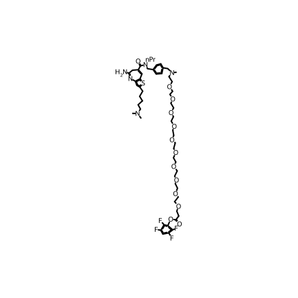 CCCN(Cc1ccc(CN(C)CCOCCOCCOCCOCCOCCOCCOCCOCCOCCOCCC(=O)Oc2c(F)c(F)cc(F)c2F)cc1)C(=O)C1=Cc2sc(CCCCCN(C)C)cc2N=C(N)C1